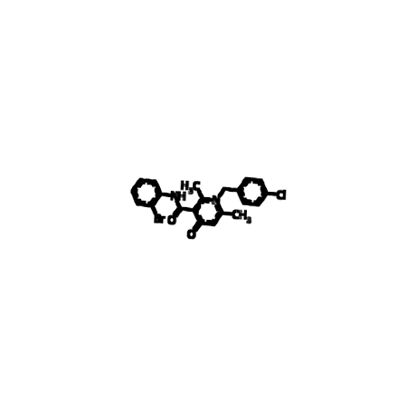 Cc1cc(=O)c(C(=O)Nc2ccccc2Br)c(C)n1Cc1ccc(Cl)cc1